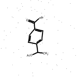 [CH2]C(OC(C)=O)c1ccc(C(=O)CCC)cc1